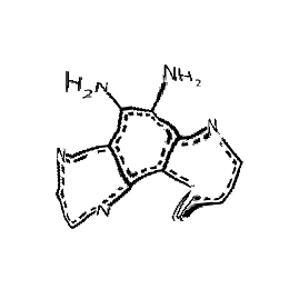 Nc1c(N)c2nccnc2c2nccnc12